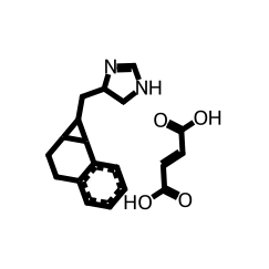 C1=NC(CC2C3CCc4ccccc4C32)CN1.O=C(O)/C=C/C(=O)O